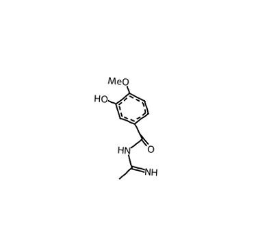 COc1ccc(C(=O)NC(C)=N)cc1O